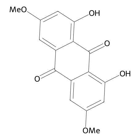 COc1cc(O)c2c(c1)C(=O)c1cc(OC)cc(O)c1C2=O